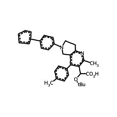 Cc1ccc(-c2c3c(nc(C)c2C(OC(C)(C)C)C(=O)O)CCN(c2ccc(-c4ccccc4)cc2)C3)cc1